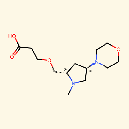 CN1C[C@H](N2CCOCC2)C[C@H]1COCCC(=O)O